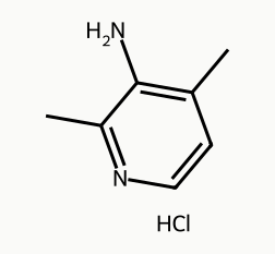 Cc1ccnc(C)c1N.Cl